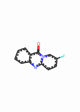 O=c1c2ccccc2nc2ccc(F)cn12